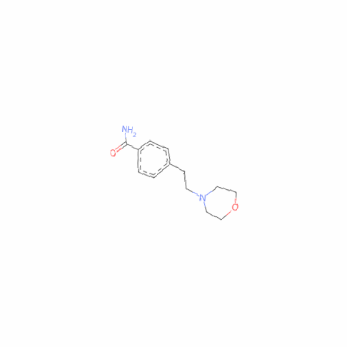 NC(=O)c1ccc(CCN2CCOCC2)cc1